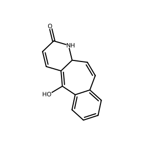 O=C1C=CC2=C(O)c3ccccc3C=CC2N1